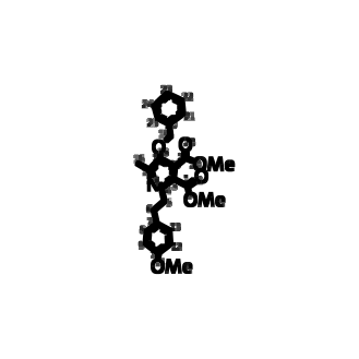 COC(=O)c1c(CCc2ccc(OC)cc2)nc(C)c(OCc2ccccc2)c1C(=O)OC